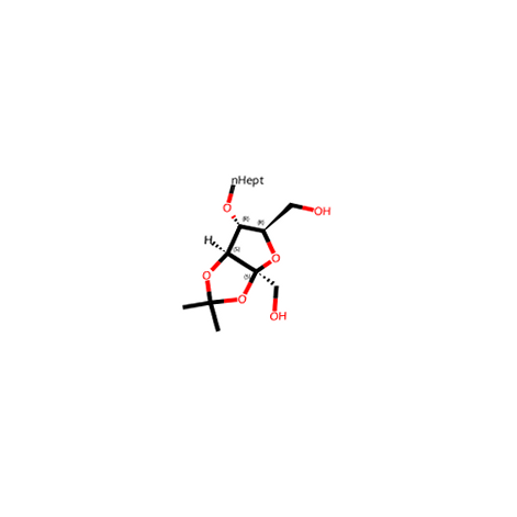 CCCCCCCO[C@@H]1[C@@H](CO)O[C@@]2(CO)OC(C)(C)O[C@@H]12